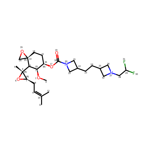 CO[C@H]1C([C@@]2(C)O[C@@H]2CC=C(C)C)[C@]2(CC[C@H]1OC(=O)N1CC(CCC3CN(CC(F)F)C3)C1)CO2